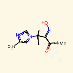 CNC(=O)/C(=N/O)C(C)(C)n1cnc([N+](=O)[O-])c1